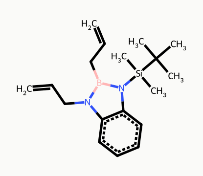 C=CCB1N(CC=C)c2ccccc2N1[Si](C)(C)C(C)(C)C